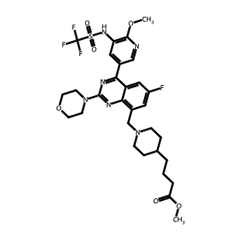 COC(=O)CCCC1CCN(Cc2cc(F)cc3c(-c4cnc(OC)c(NS(=O)(=O)C(F)(F)F)c4)nc(N4CCOCC4)nc23)CC1